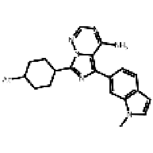 CC(=O)C1CCC(c2nc(-c3ccc4ccn(C)c4c3)c3c(N)ncnn23)CC1